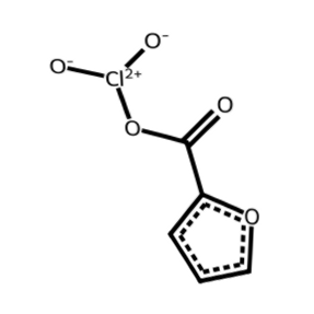 O=C(O[Cl+2]([O-])[O-])c1ccco1